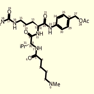 CNCCCCC(=O)N[C@@H](C(=O)N[C@@H](CCCNC(N)=O)C(=O)Nc1ccc(COC(C)=O)cc1)C(C)C